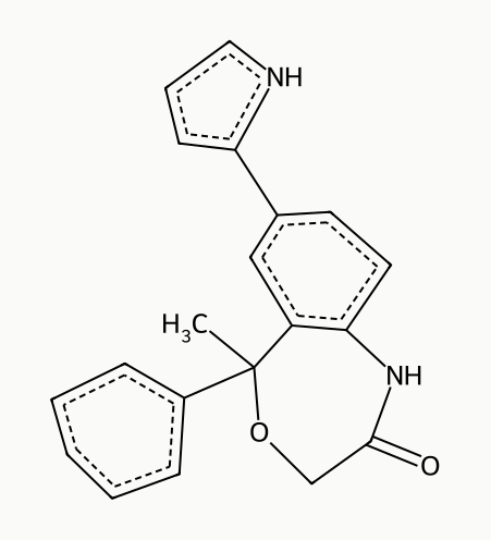 CC1(c2ccccc2)OCC(=O)Nc2ccc(-c3ccc[nH]3)cc21